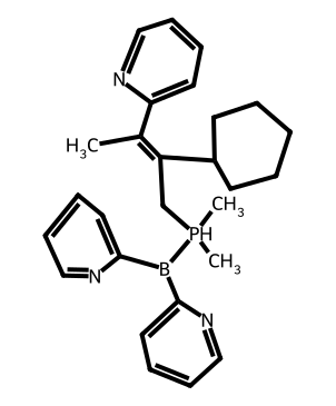 C/C(=C(\C[PH](C)(C)B(c1ccccn1)c1ccccn1)C1CCCCC1)c1ccccn1